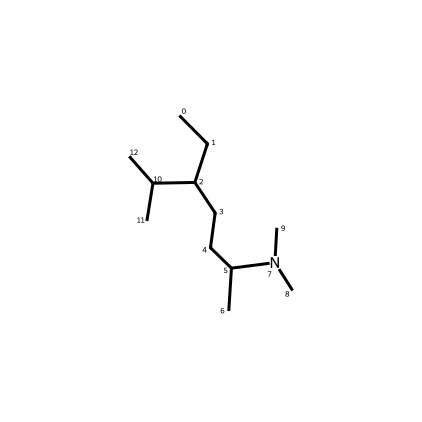 CCC(CCC(C)N(C)C)C(C)C